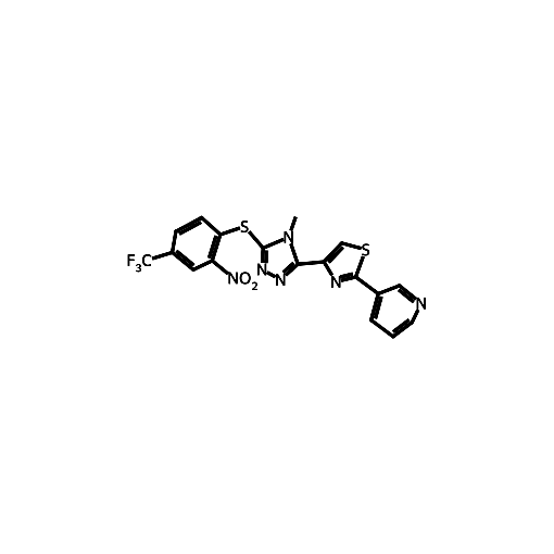 Cn1c(Sc2ccc(C(F)(F)F)cc2[N+](=O)[O-])nnc1-c1csc(-c2cccnc2)n1